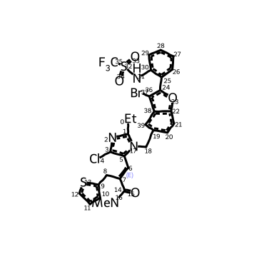 CCc1nc(Cl)c(/C=C(\Cc2cccs2)C(=O)NC)n1Cc1ccc2oc(-c3ccccc3NS(=O)(=O)C(F)(F)F)c(Br)c2c1